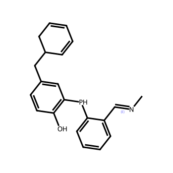 C/N=C/c1ccccc1Pc1cc(CC2C=CC=CC2)ccc1O